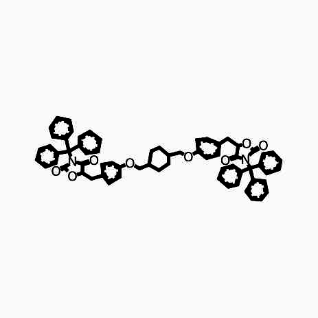 O=C1OC(Cc2ccc(OCC3CCC(COc4ccc(CC5OC(=O)N(C(c6ccccc6)(c6ccccc6)c6ccccc6)C5=O)cc4)CC3)cc2)C(=O)N1C(c1ccccc1)(c1ccccc1)c1ccccc1